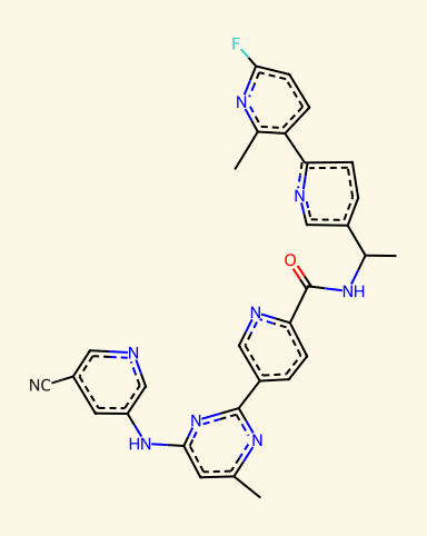 Cc1cc(Nc2cncc(C#N)c2)nc(-c2ccc(C(=O)NC(C)c3ccc(-c4ccc(F)nc4C)nc3)nc2)n1